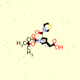 CC(C)(C)OC(=O)N1C/C(=C/C(=O)O)C[C@H]1C(=O)N1CCSC1